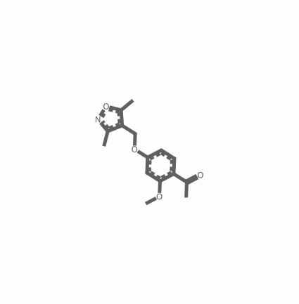 COc1cc(OCc2c(C)noc2C)ccc1C(C)=O